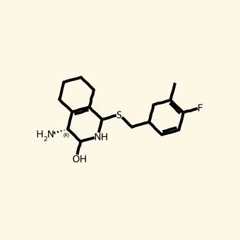 CC1=C(F)C=CC(CSC2NC(O)[C@H](N)C3=C2CCCC3)C1